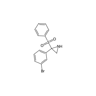 O=S(=O)(c1ccccc1)C1(c2cccc(Br)c2)CN1